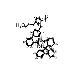 CCCCc1ncc(C=O)n1Cc1ccc(-c2ccccc2-c2nnn(C(c3ccccc3)(c3ccccc3)c3ccccc3)n2)cc1